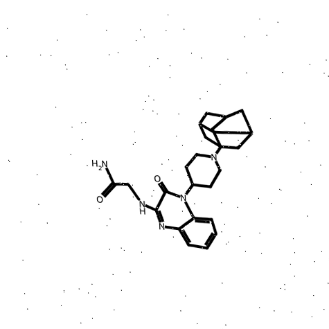 NC(=O)CNc1nc2ccccc2n(C2CCN(C34CC5CC(CC(C5)C3)C4)CC2)c1=O